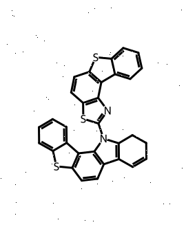 C1=Cc2c(n(-c3nc4c(ccc5sc6ccccc6c54)s3)c3c2ccc2sc4ccccc4c23)CC1